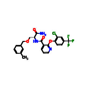 Cc1cccc(COC[C@@H](NC(=O)c2cccnc2Oc2ccc(C(F)(F)F)cc2Cl)C(N)=O)c1